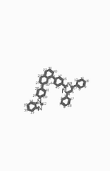 c1ccc(-c2cc(-c3ccccc3)nc(-c3ccc(-c4cccc5ccc(-c6ccc(-n7cnc8ccccc87)cc6)cc45)cc3)n2)cc1